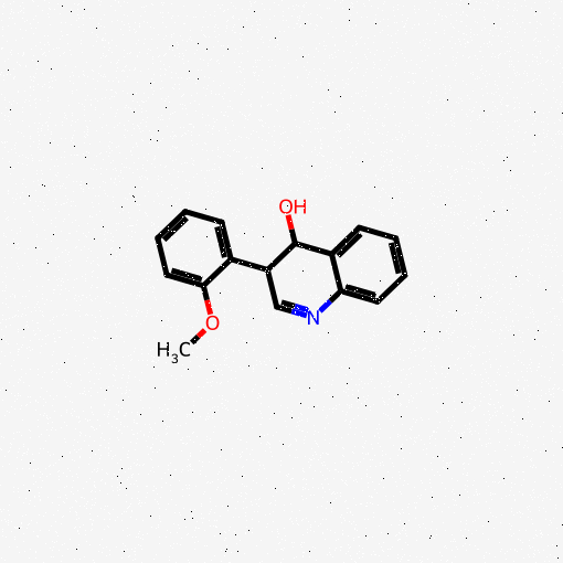 COc1ccccc1C1C=Nc2ccccc2C1O